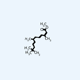 COC(=O)C=C(C)C=CCC(C)CCCC(C)(C)C